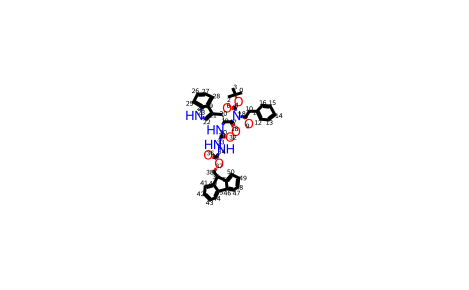 CC(C)(C)OC(=O)N(C(=O)Cc1ccccc1)C(=O)[C@@H](Cc1c[nH]c2ccccc12)NC(=O)NNC(=O)OCC1c2ccccc2-c2ccccc21